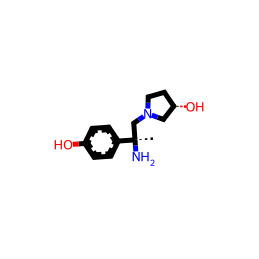 C[C@@](N)(CN1CC[C@H](O)C1)c1ccc(O)cc1